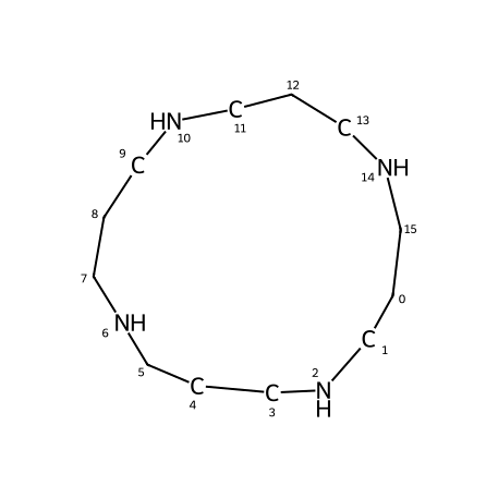 C1CNCCCNCCCNCCCNC1